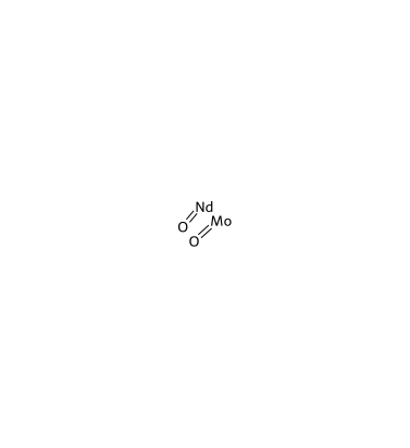 [O]=[Mo].[O]=[Nd]